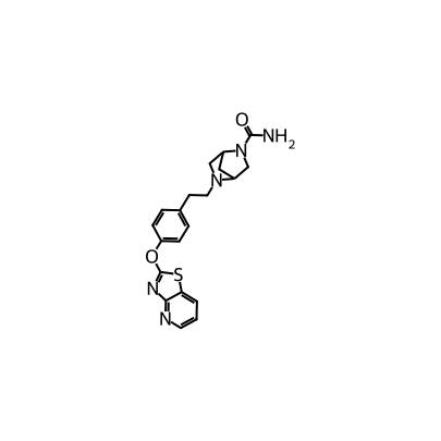 NC(=O)N1CC2CC1CN2CCc1ccc(Oc2nc3ncccc3s2)cc1